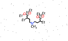 CCO[SiH](OCC)C(CC)CCN(C)CCC(CC)[SiH](OCC)OCC